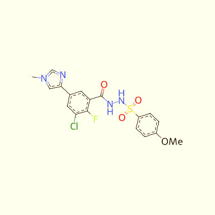 COc1ccc(S(=O)(=O)NNC(=O)c2cc(-c3cn(C)cn3)cc(Cl)c2F)cc1